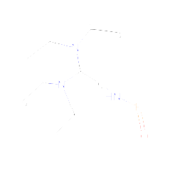 CCN(CC)C(CNP=O)N(CC)CC